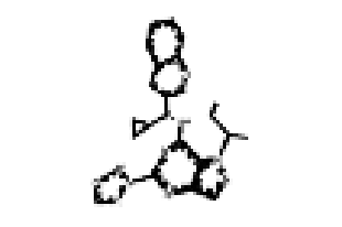 CCC(C)n1ncc2nc(-n3ncnn3)nc(N[C@@H](c3cnc4ccccc4c3)C3CC3)c21